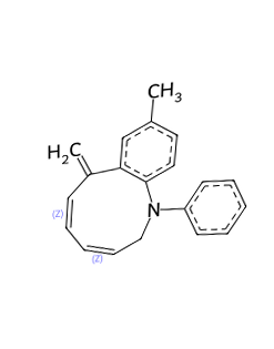 C=C1/C=C\C=C/CN(c2ccccc2)c2ccc(C)cc21